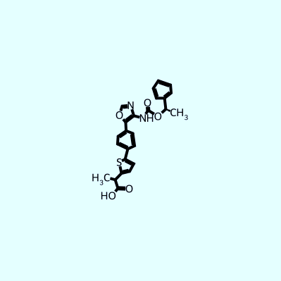 CC(C(=O)O)c1ccc(-c2ccc(-c3ocnc3NC(=O)O[C@H](C)c3ccccc3)cc2)s1